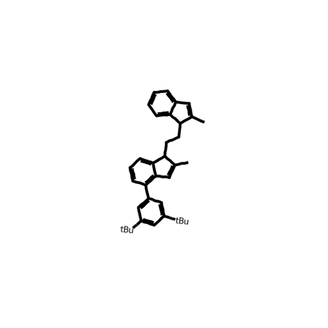 CC1=Cc2ccccc2C1CCC1C(C)=Cc2c(-c3cc(C(C)(C)C)cc(C(C)(C)C)c3)cccc21